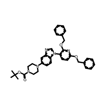 CC(C)(C)OC(=O)N1CCN(c2ccc3c(c2)ncn3-c2ccc(OCc3ccccc3)nc2OCc2ccccc2)CC1